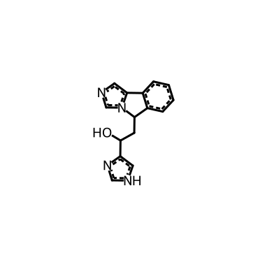 OC(CC1c2ccccc2-c2cncn21)c1c[nH]cn1